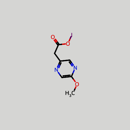 COc1cnc(CC(=O)OI)cn1